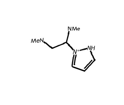 CNCC(NC)[n+]1ccc[nH]1